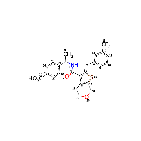 CC(NC(=O)c1c(Cc2cccc(C(F)(F)F)c2)sc2c1CCOC2)c1ccc(C(=O)O)cc1